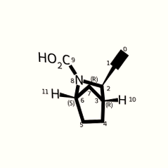 C#C[C@H]1[C@@H]2CC[C@@H](C2)N1C(=O)O